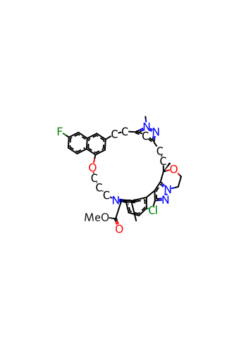 COC(=O)c1c(C)c2c3c(Cl)ccc2n1CCCOc1cc(cc2cc(F)ccc12)CCc1cc(nn1C)CC[C@]1(C)OCCn2nc(C)c-3c21